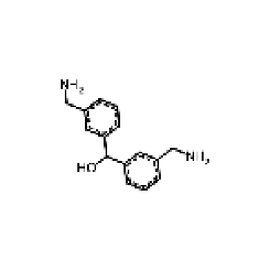 NCc1cccc(C(O)c2cccc(CN)c2)c1